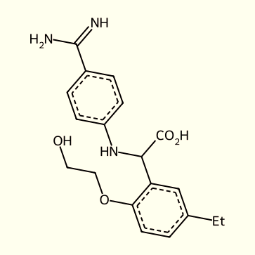 CCc1ccc(OCCO)c(C(Nc2ccc(C(=N)N)cc2)C(=O)O)c1